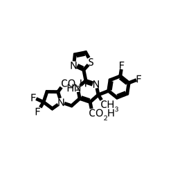 CC1(c2ccc(F)c(F)c2)N=C(c2nccs2)NC(CN2CC(F)(F)CC2C(=O)O)=C1C(=O)O